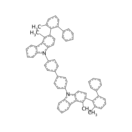 Cc1cccc(-c2ccccc2)c1-c1ccc2c(c1C)c1ccccc1n2-c1ccc(-c2ccc(-n3c4ccccc4c4c(C)c(-c5c(C)cccc5-c5ccccc5)ccc43)cc2)cc1